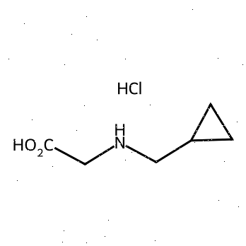 Cl.O=C(O)CNCC1CC1